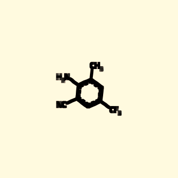 Cc1cc(C(F)(F)F)cc(C#N)c1N